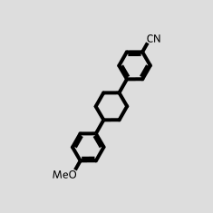 COc1ccc(C2CCC(c3ccc(C#N)cc3)CC2)cc1